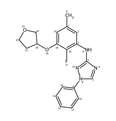 Cc1cc(Nc2ncn(-c3ccccc3)n2)c(F)c(OC2CCOC2)c1